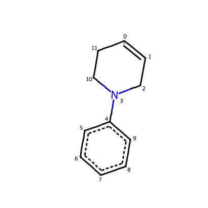 [C]1=CCN(c2ccccc2)CC1